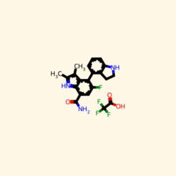 Cc1[nH]c2c(C(N)=O)cc(F)c(-c3cccc4c3CCN4)c2c1C.O=C(O)C(F)(F)F